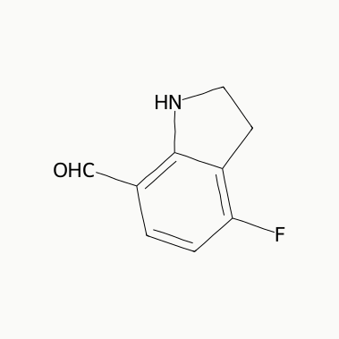 O=Cc1ccc(F)c2c1NCC2